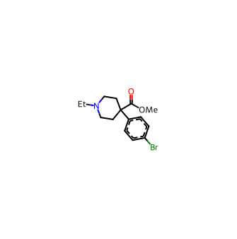 CCN1CCC(C(=O)OC)(c2ccc(Br)cc2)CC1